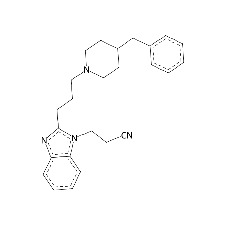 N#CCCn1c(CCCN2CCC(Cc3ccccc3)CC2)nc2ccccc21